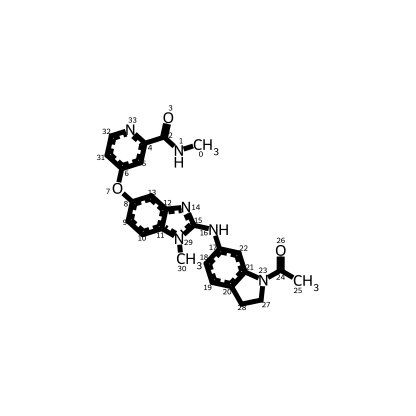 CNC(=O)c1cc(Oc2ccc3c(c2)nc(Nc2ccc4c(c2)N(C(C)=O)CC4)n3C)ccn1